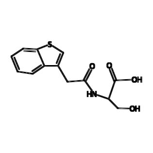 O=C(Cc1csc2ccccc12)NC(CO)C(=O)O